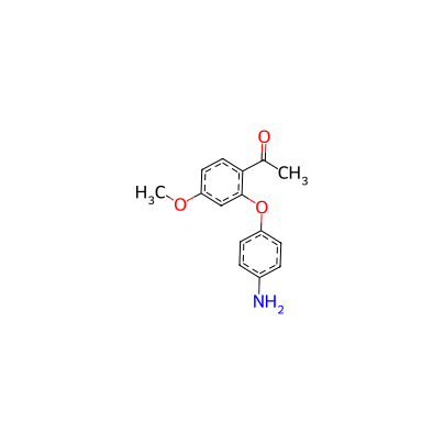 COc1ccc(C(C)=O)c(Oc2ccc(N)cc2)c1